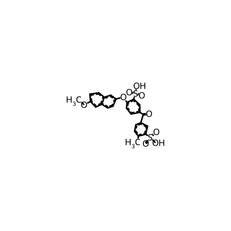 COc1ccc2cc(Oc3ccc(C(=O)c4ccc(C)c(S(=O)(=O)O)c4)cc3S(=O)(=O)O)ccc2c1